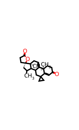 CC1C[C@@]2(CCC(=O)O2)[C@@]2(C)CC=C3C(CC4(CC4)C4=CC(=O)CC[C@]34C)C12